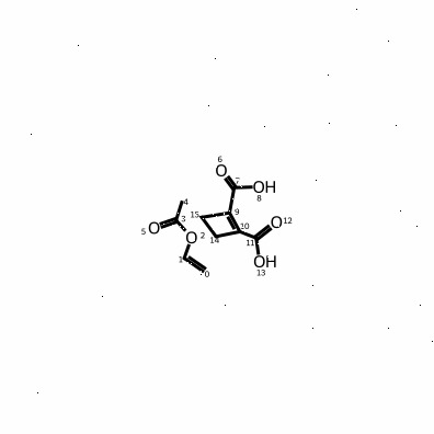 C=COC(C)=O.O=C(O)C1=C(C(=O)O)CC1